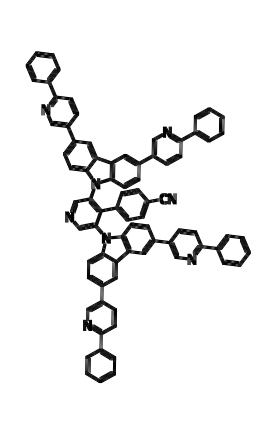 N#Cc1ccc(-c2c(-n3c4ccc(-c5ccc(-c6ccccc6)nc5)cc4c4cc(-c5ccc(-c6ccccc6)nc5)ccc43)cncc2-n2c3ccc(-c4ccc(-c5ccccc5)nc4)cc3c3cc(-c4ccc(-c5ccccc5)nc4)ccc32)cc1